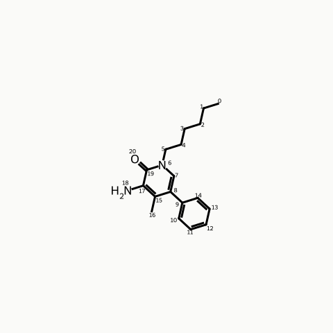 CCCCCCn1cc(-c2ccccc2)c(C)c(N)c1=O